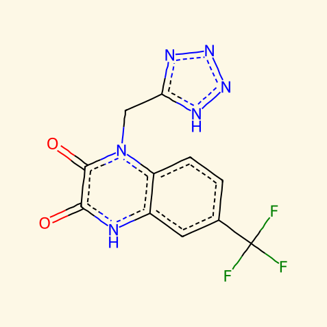 O=c1[nH]c2cc(C(F)(F)F)ccc2n(Cc2nnn[nH]2)c1=O